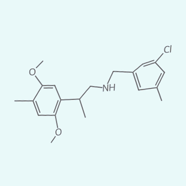 COc1cc(C(C)CNCc2cc(C)cc(Cl)c2)c(OC)cc1C